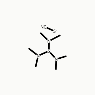 CN(C)[S+](N(C)C)N(C)C.N#C[S-]